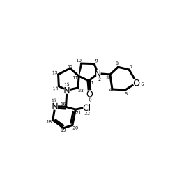 O=C1N(C2CCOCC2)CC[C@@]12CCCN(c1ncccc1Cl)C2